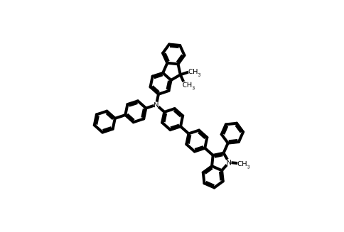 Cn1c(-c2ccccc2)c(-c2ccc(-c3ccc(N(c4ccc(-c5ccccc5)cc4)c4ccc5c(c4)C(C)(C)c4ccccc4-5)cc3)cc2)c2ccccc21